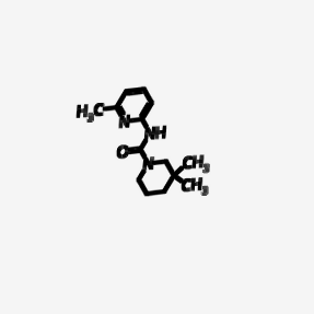 Cc1cccc(NC(=O)N2CCCC(C)(C)C2)n1